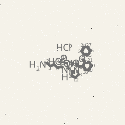 Cl.NCCCCC(NC(=O)[C@@H]1CCCN1C(=O)c1ccccc1Oc1ccccc1)P(=O)(O)O